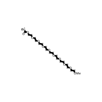 CCC(C)C(=O)OCCOCCOCCOCCOCCOCCOCCOCCOCCOC